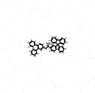 N=C(Cc1ccc(-c2ccccc2)c(-c2ccccc2)c1)c1cccc(C2(c3ccccc3)c3ccccc3-c3ccccc32)c1